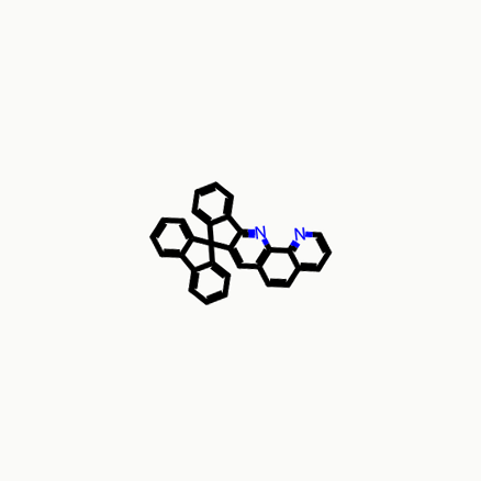 c1ccc2c(c1)-c1ccccc1C21c2ccccc2-c2nc3c(ccc4cccnc43)cc21